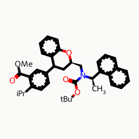 COC(=O)c1cc(C2C[C@H](CN(C(=O)OC(C)(C)C)[C@H](C)c3cccc4ccccc34)Oc3ccccc32)ccc1C(C)C